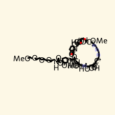 COCCOCCOCCOCCNC(=O)O[C@@H]1CC[C@@H](C[C@@H](N)[C@@H]2C[C@@H](O)[C@H](C)/C=C(\C)[C@@H](O)[C@@H](O)C(=O)[C@H](C)C[C@H](C)/C=C/C=C/C=C(\C)[C@@H](OC)C[C@@H]3CC[C@@H](C)[C@@](O)(O3)C(=O)C(=O)N3CCCC[C@H]3C(=O)O2)C[C@H]1OC